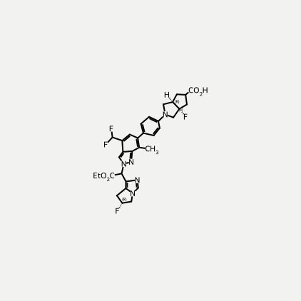 CCOC(=O)C(c1ncn2c1C[C@@H](F)C2)n1cc2c(C(F)F)cc(-c3ccc(N4C[C@H]5CC(C(=O)O)C[C@@]5(F)C4)cc3)c(C)c2n1